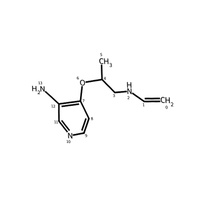 C=CNCC(C)Oc1ccncc1N